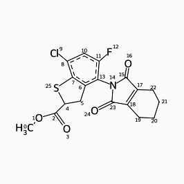 COC(=O)C1Cc2c(c(Cl)cc(F)c2N2C(=O)C3=C(CCCC3)C2=O)S1